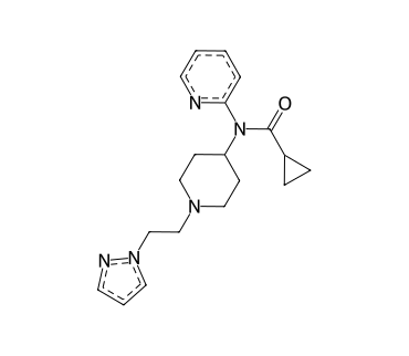 O=C(C1CC1)N(c1ccccn1)C1CCN(CCn2cccn2)CC1